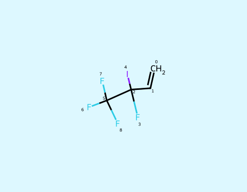 C=CC(F)(I)C(F)(F)F